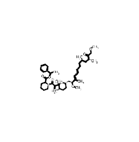 COCC(=O)[C@H](C)C[C@H](C)C=CC=CC=C(C)[C@H](C[C@@H]1CC[C@@H](C)[C@](O)(C(=O)C(=O)N2CCCCC2C(=O)OC(C)c2ccccc2)O1)OC